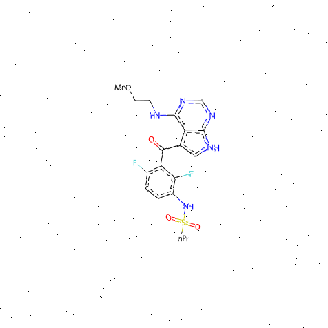 CCCS(=O)(=O)Nc1ccc(F)c(C(=O)c2c[nH]c3ncnc(NCCOC)c23)c1F